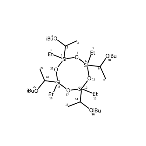 CC[Si]1(C(C)OCC(C)C)O[Si](CC)(C(C)OCC(C)C)O[Si](CC)(C(C)OCC(C)C)O[Si](CC)(C(C)OCC(C)C)O1